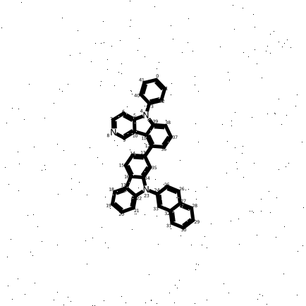 c1ccc(-n2c3ccncc3c3c(-c4ccc5c6ccccc6n(-c6ccc7ccccc7c6)c5c4)cccc32)cc1